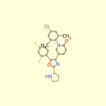 Cc1cc(Cl)cc(C)c1-n1cc(-c2nc(C3CCCN3)oc2-c2ccc(F)cc2F)ccc1=O